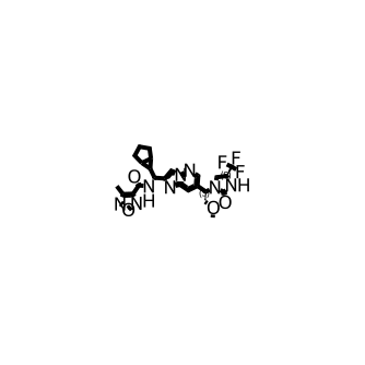 COC[C@H](c1cnn2cc(C(NC(=O)c3nonc3C)C3C4CCCC43)nc2c1)N1C[C@@H](C(F)(F)F)NC1=O